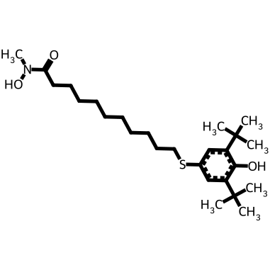 CN(O)C(=O)CCCCCCCCCCSc1cc(C(C)(C)C)c(O)c(C(C)(C)C)c1